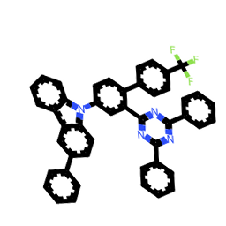 FC(F)(F)c1ccc(-c2ccc(-n3c4ccccc4c4cc(-c5ccccc5)ccc43)cc2-c2nc(-c3ccccc3)nc(-c3ccccc3)n2)cc1